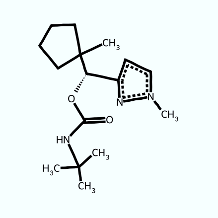 Cn1ccc([C@H](OC(=O)NC(C)(C)C)C2(C)CCCC2)n1